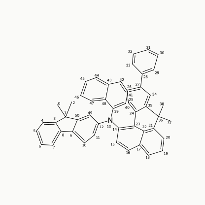 CC1(C)c2ccccc2-c2ccc(N(c3ccc4cccc5c4c3-c3ccc(-c4ccccc4)cc3C5(C)C)c3cccc4ccccc34)cc21